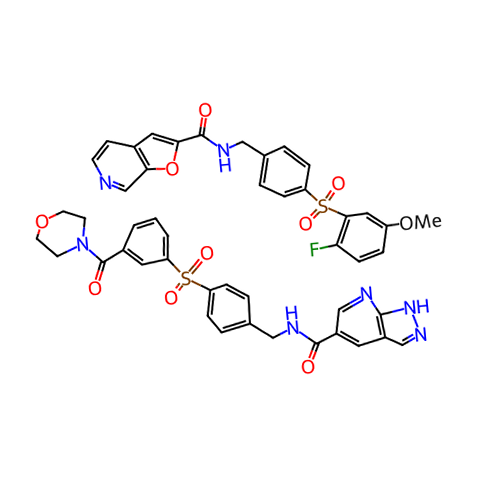 COc1ccc(F)c(S(=O)(=O)c2ccc(CNC(=O)c3cc4ccncc4o3)cc2)c1.O=C(NCc1ccc(S(=O)(=O)c2cccc(C(=O)N3CCOCC3)c2)cc1)c1cnc2[nH]ncc2c1